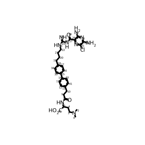 CN(C)CCC(NC(=O)CCc1ccc(-c2ccc(CCCCNC(=N)NC(=O)c3nc(Cl)c(N)nc3N)cc2)cc1)C(=O)O